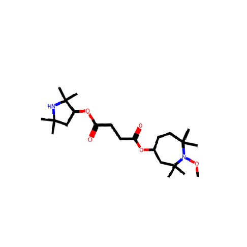 CON1C(C)(C)CCC(OC(=O)CCC(=O)OC2CC(C)(C)NC2(C)C)CC1(C)C